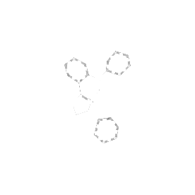 [O-][S@@+](c1ccccc1)c1ccccc1C1=N[C@H](c2ccccc2)CO1